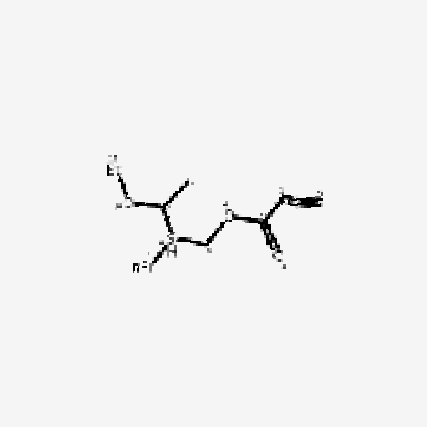 C=CC(=O)OC[SiH](CCC)C(C)OCC